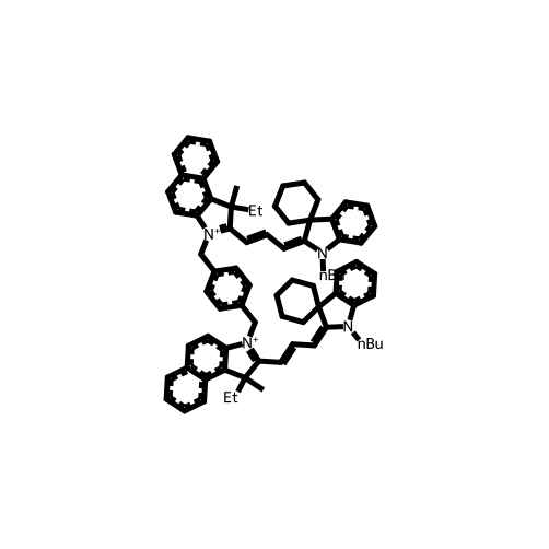 CCCCN1/C(=C/C=C/C2=[N+](Cc3ccc(C[N+]4=C(/C=C/C=C5/N(CCCC)c6ccccc6C56CCCCC6)C(C)(CC)c5c4ccc4ccccc54)cc3)c3ccc4ccccc4c3C2(C)CC)C2(CCCCC2)c2ccccc21